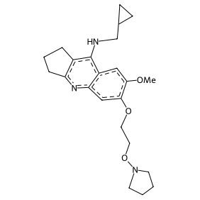 COc1cc2c(NCC3CC3)c3c(nc2cc1OCCON1CCCC1)CCC3